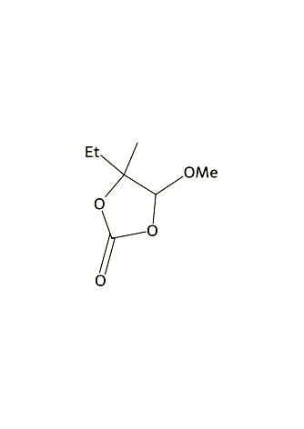 CCC1(C)OC(=O)OC1OC